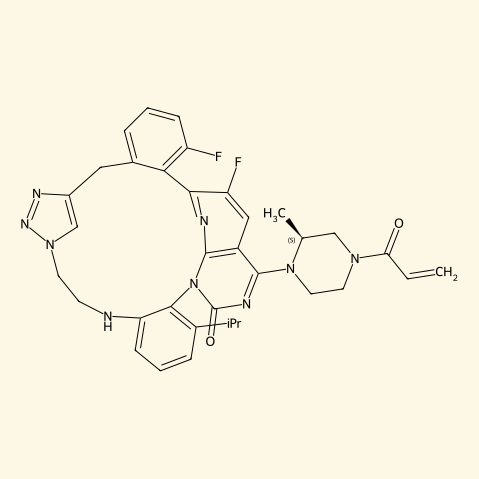 C=CC(=O)N1CCN(c2nc(=O)n3c4nc(c(F)cc24)-c2c(F)cccc2Cc2cn(nn2)CCNc2cccc(C(C)C)c2-3)[C@@H](C)C1